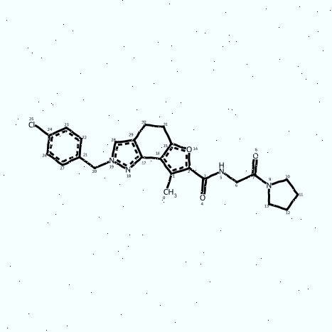 Cc1c(C(=O)NCC(=O)N2CCCC2)oc2c1-c1nn(Cc3ccc(Cl)cc3)cc1CC2